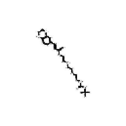 CC(C)(C)OC(=O)NCCOCCOCCNC(=O)/C=C/c1ccc2c(c1)OCCO2